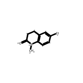 [CH2]Cc1ccc2c(c1)CCC(=O)N2C